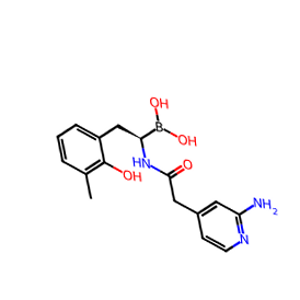 Cc1cccc(C[C@H](NC(=O)Cc2ccnc(N)c2)B(O)O)c1O